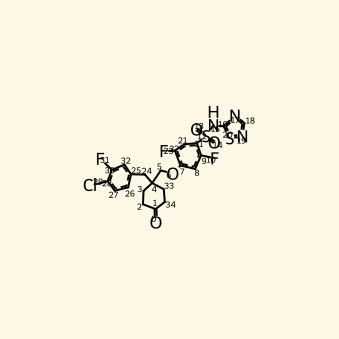 O=C1CCC(COc2cc(F)c(S(=O)(=O)Nc3ncns3)cc2F)(Cc2ccc(Cl)c(F)c2)CC1